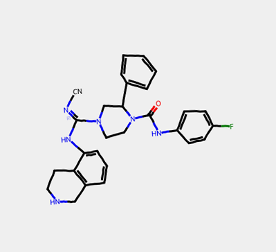 N#C/N=C(/Nc1cccc2c1CCNC2)N1CCN(C(=O)Nc2ccc(F)cc2)C(c2ccccc2)C1